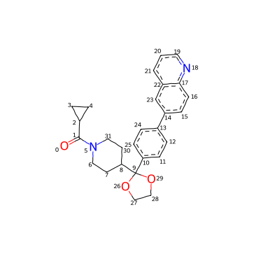 O=C(C1CC1)N1CCC(C2(c3ccc(-c4ccc5ncccc5c4)cc3)OCCO2)CC1